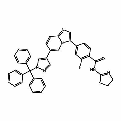 O=C(NC1=NCCS1)c1ccc(-c2cnc3ccc(-c4cnn(C(c5ccccc5)(c5ccccc5)c5ccccc5)c4)cn23)cc1F